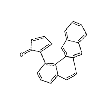 O=C1C=CC=C1c1cccc2ccc3cc4ccccc4cc3c12